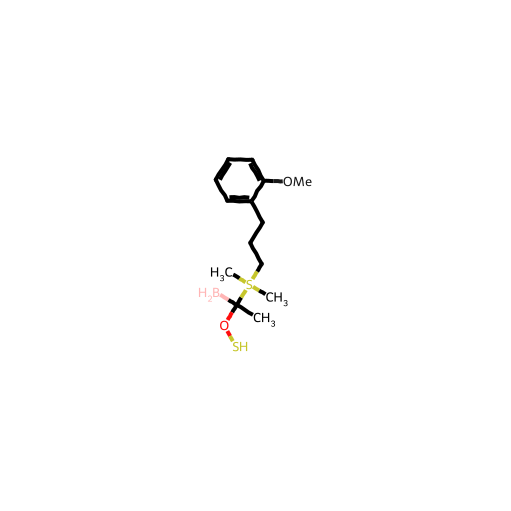 BC(C)(OS)S(C)(C)CCCc1ccccc1OC